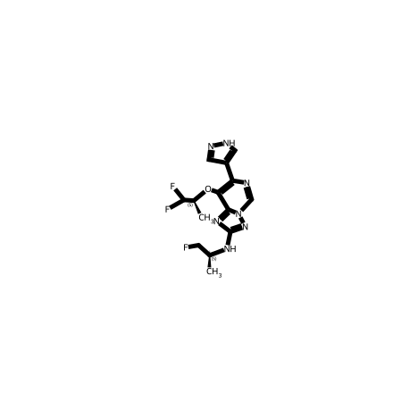 C[C@H](Oc1c(-c2cn[nH]c2)ncn2nc(N[C@@H](C)CF)nc12)C(F)F